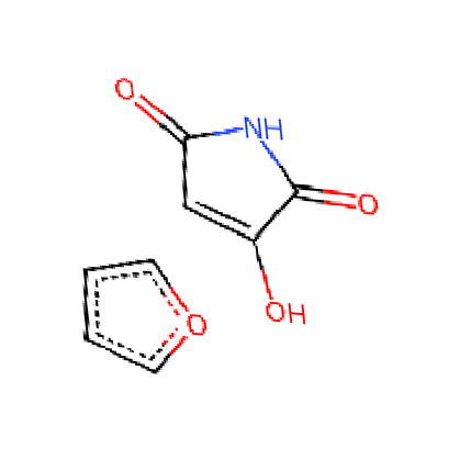 O=C1C=C(O)C(=O)N1.c1ccoc1